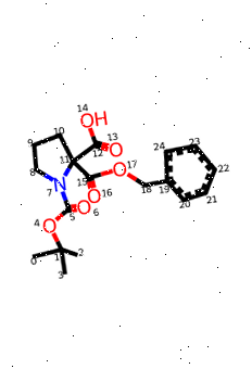 CC(C)(C)OC(=O)N1CCCC1(C(=O)O)C(=O)OCc1ccccc1